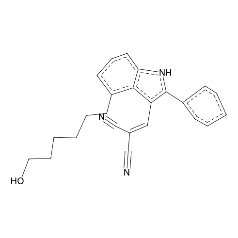 N#CC(C#N)=Cc1c(-c2ccccc2)[nH]c2cccc(CCCCCCO)c12